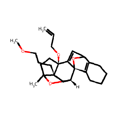 C=CCO[C@]12CCC3(C)O[C@@H](C[C@]31CCCOC)[C@@]13OC(C=C12)C1=C3CCCC1